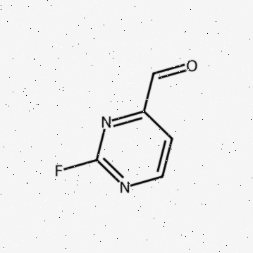 O=Cc1ccnc(F)n1